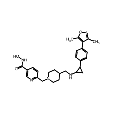 Cc1noc(C)c1-c1ccc(C2CC2NCC2CCN(Cc3ccc(C(=O)NO)cn3)CC2)cc1